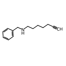 C#CCCCCCNCc1ccccc1